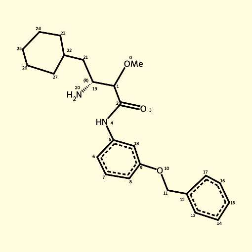 COC(C(=O)Nc1cccc(OCc2ccccc2)c1)[C@H](N)CC1CCCCC1